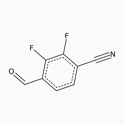 N#Cc1ccc(C=O)c(F)c1F